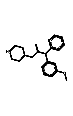 COc1cccc(C(c2ccccn2)N(C)CC2CCNCC2)c1